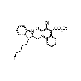 CCOC(=O)c1c(O)c(=O)n(Cc2nc3ccccc3n2CCCCF)c2ccccc12